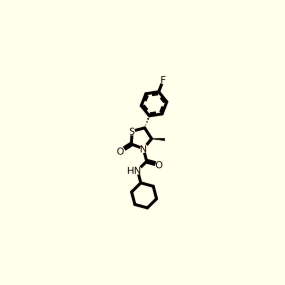 C[C@@H]1[C@@H](c2ccc(F)cc2)SC(=O)N1C(=O)NC1CCCCC1